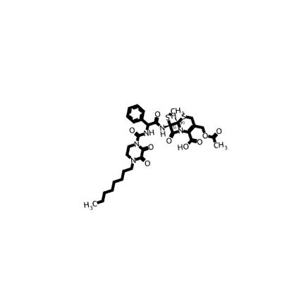 CCCCCCCCN1CCN(C(=O)NC(C(=O)N[C@]2(SC)C(=O)N3C(C(=O)O)=C(COC(C)=O)CS[C@@H]32)c2ccccc2)C(=O)C1=O